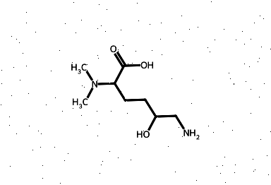 CN(C)C(CCC(O)CN)C(=O)O